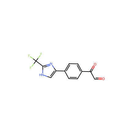 O=CC(=O)c1ccc(-c2c[nH]c(C(F)(F)F)n2)cc1